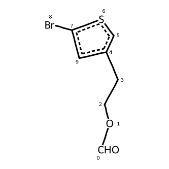 O=COCCc1csc(Br)c1